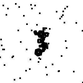 C=Cc1cc(F)c(=O)n(CC(=O)c2cnn(Cc3ccccc3)c2C)c1